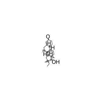 CC[C@]1(C)C[C@@H]2[C@H]3[C@H](CC[C@]2(C)[C@@H]1O)[C@H]1CCC(=O)C=C1C[C@H]3C